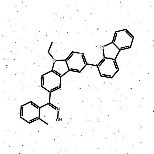 CCn1c2ccc(C(=NO)c3ccccc3C)cc2c2cc(-c3cccc4c3[nH]c3ccccc34)ccc21